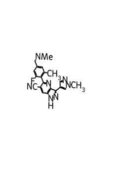 CNCc1cc(C)c(-c2nc3c(-c4cnn(C)c4)n[nH]c3cc2C#N)c(F)c1